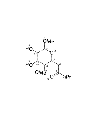 COC1OC(CC(=O)C(C)C)C(OC)C(O)C1O